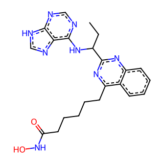 CCC(Nc1ncnc2[nH]cnc12)c1nc(CCCCCC(=O)NO)c2ccccc2n1